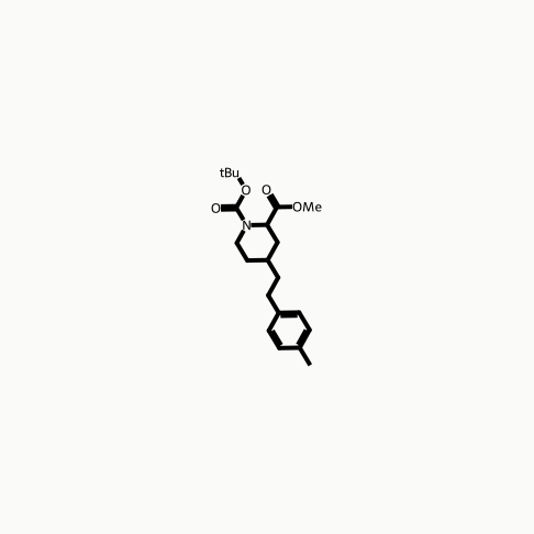 COC(=O)C1CC(CCc2ccc(C)cc2)CCN1C(=O)OC(C)(C)C